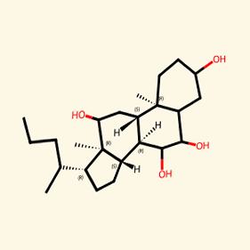 CCCC(C)[C@H]1CC[C@H]2[C@@H]3C(O)C(O)C4CC(O)CC[C@]4(C)[C@H]3CC(O)[C@]12C